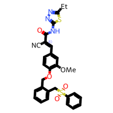 CCc1nnc(NC(=O)/C(C#N)=C/c2ccc(OCc3ccccc3CS(=O)(=O)c3ccccc3)c(OC)c2)s1